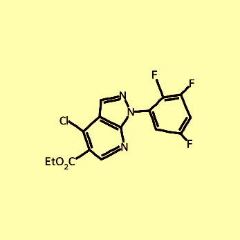 CCOC(=O)c1cnc2c(cnn2-c2cc(F)cc(F)c2F)c1Cl